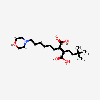 CC(C)(C)CCC(C(=O)O)=C(CCCCCCN1CCOCC1)C(=O)O